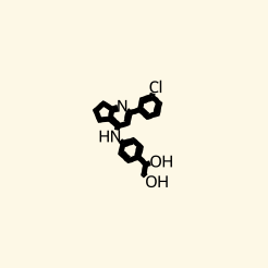 OCC(O)c1ccc(Nc2cc(-c3cccc(Cl)c3)nc3c2CCC3)cc1